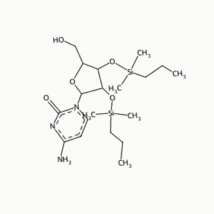 CCC[Si](C)(C)OC1C(CO)OC(n2ccc(N)nc2=O)C1O[Si](C)(C)CCC